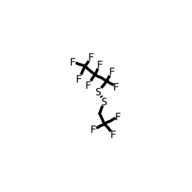 FC(F)(F)CSSC(F)(F)C(F)(F)C(F)(F)F